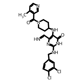 Cc1ccncc1C(=O)N1CCC(Nc2c(C=N)nc(NCc3ccc(Cl)c(Cl)c3)[nH]c2=O)CC1